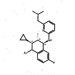 CC(=O)N1c2ccc(F)cc2[C@H](Nc2cccc(CN(C)C)n2)[C@@H](C)[C@@H]1C1CC1